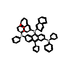 c1ccc(-c2c3cc(N(c4ccccc4)c4ccccc4)ccc3c(N(c3ccc4ccccc4c3)c3ccc4ccccc4c3)c3cc(N(c4ccccc4)c4ccccc4)ccc23)cc1